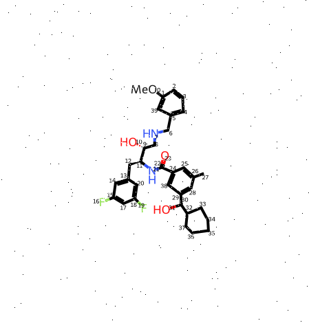 COc1cccc(CNC[C@@H](O)[C@H](Cc2cc(F)cc(F)c2)NC(=O)c2cc(C)cc(C(O)C3CCCCC3)c2)c1